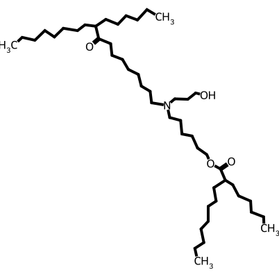 CCCCCCCCC(CCCCCC)C(=O)CCCCCCCCN(CCCO)CCCCCCOC(=O)C(CCCCCC)CCCCCCCC